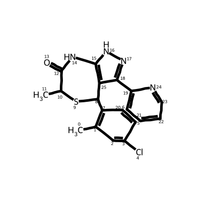 Cc1cc(Cl)ccc1C1SC(C)C(=O)Nc2[nH]nc(-c3ccccn3)c21